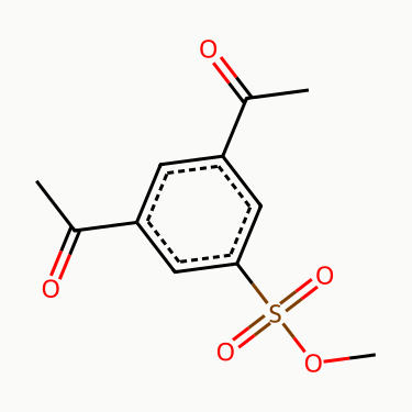 COS(=O)(=O)c1cc(C(C)=O)cc(C(C)=O)c1